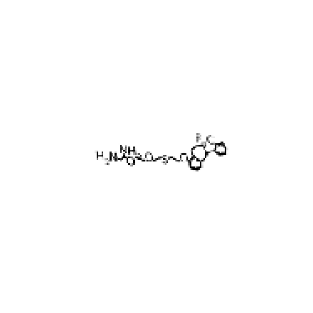 NCC(N)OCCOCCSCCOc1cccc2c1CCCC(c1ccccc1C(F)(F)F)=C2